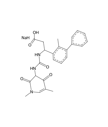 CC1=CN(C)C(=O)C(NC(=O)NC(CC(=O)O)c2cccc(-c3ccccc3)c2C)C1=O.[NaH]